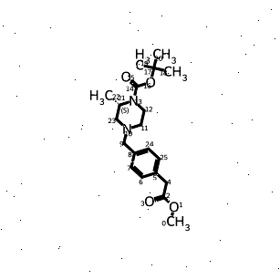 COC(=O)Cc1ccc(CN2CCN(C(=O)OC(C)(C)C)[C@@H](C)C2)cc1